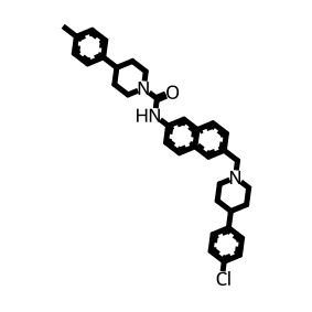 Cc1ccc(C2CCN(C(=O)Nc3ccc4cc(CN5CCC(c6ccc(Cl)cc6)CC5)ccc4c3)CC2)cc1